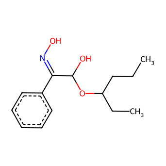 CCCC(CC)OC(O)C(=NO)c1ccccc1